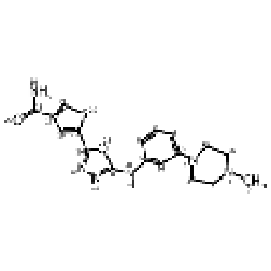 CN1CCN(c2cccc(Nc3nnc(-c4cc(C(N)=O)cs4)o3)c2)CC1